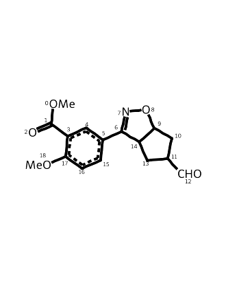 COC(=O)c1cc(C2=NOC3CC(C=O)CC23)ccc1OC